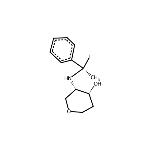 C[C@](I)(N[C@H]1COCC[C@H]1O)c1ccccc1